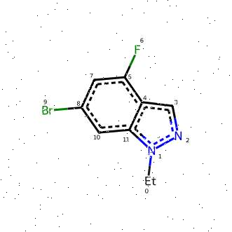 CCn1ncc2c(F)cc(Br)cc21